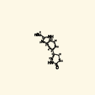 CCCCc1nc2cc(C3=NNC(=O)SC3)ccc2[nH]1